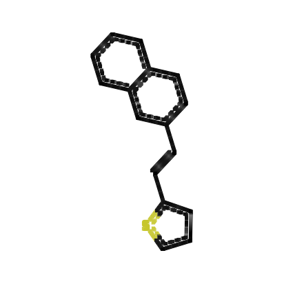 C(=Cc1cccs1)c1ccc2ccccc2c1